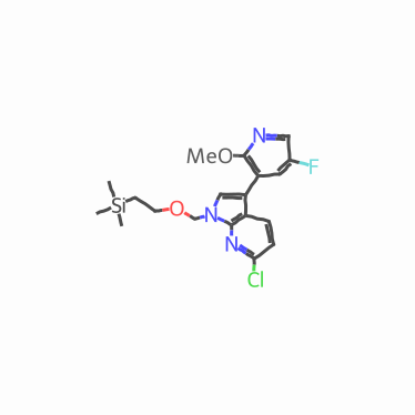 COc1ncc(F)cc1-c1cn(COCC[Si](C)(C)C)c2nc(Cl)ccc12